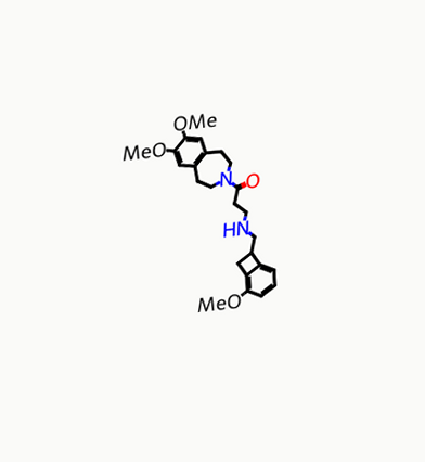 COc1cc2c(cc1OC)CCN(C(=O)CCNCC1Cc3c(OC)cccc31)CC2